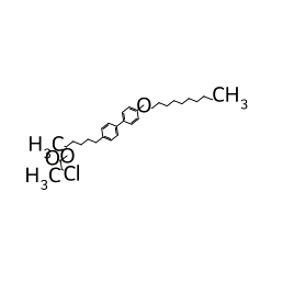 CCCCCCCCCCOc1ccc(-c2ccc(CCCCC(C)OC(=O)C(C)Cl)cc2)cc1